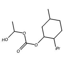 CC1CCC(C(C)C)C(OC(=O)OC(C)O)C1